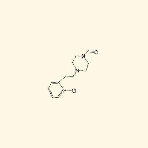 O=CN1CCN(CCc2ccccc2Cl)CC1